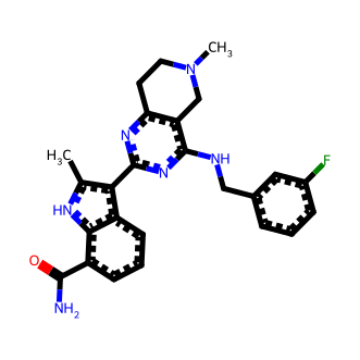 Cc1[nH]c2c(C(N)=O)cccc2c1-c1nc2c(c(NCc3cccc(F)c3)n1)CN(C)CC2